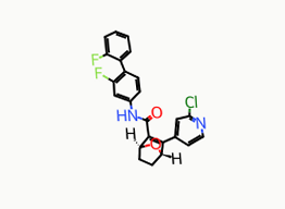 O=C(Nc1ccc(-c2ccccc2F)c(F)c1)C1=C(c2ccnc(Cl)c2)[C@@H]2CC[C@@H]1O2